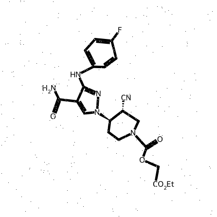 CCOC(=O)COC(=O)N1CC[C@@H](n2cc(C(N)=O)c(Nc3ccc(F)cc3)n2)[C@H](C#N)C1